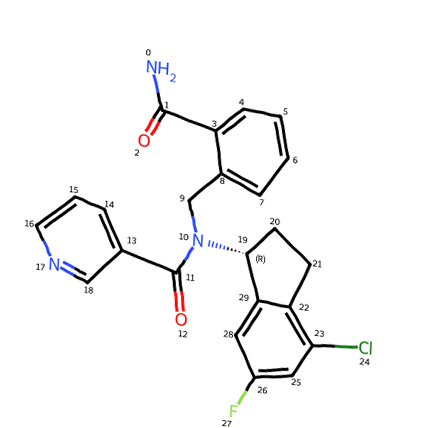 NC(=O)c1ccccc1CN(C(=O)c1cccnc1)[C@@H]1CCc2c(Cl)cc(F)cc21